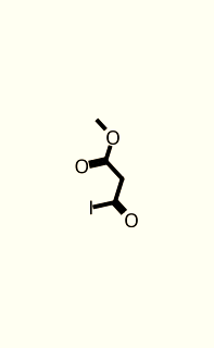 COC(=O)CC(=O)I